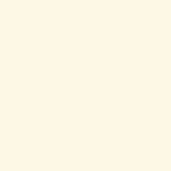 CSCCSCC(CSC)SCCSC